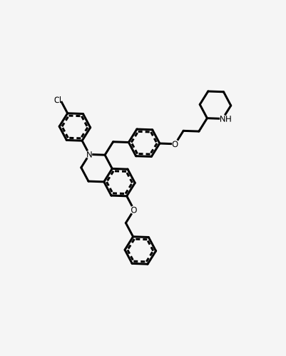 Clc1ccc(N2CCc3cc(OCc4ccccc4)ccc3C2Cc2ccc(OCCC3CCCCN3)cc2)cc1